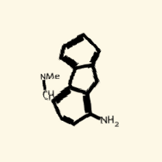 CNC.Nc1cccc2c1Cc1ccccc1-2